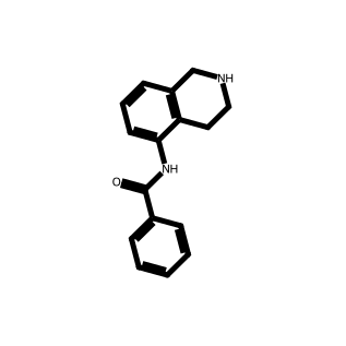 O=C(Nc1cccc2c1CCNC2)c1ccccc1